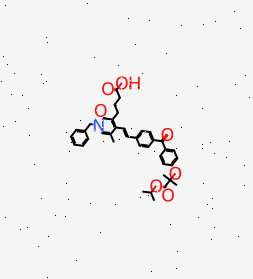 Cc1cn(Cc2ccccc2)c(=O)c(CCCC(=O)O)c1/C=C/c1ccc(C(=O)c2ccc(OC(C)(C)C(=O)OC(C)C)cc2)cc1